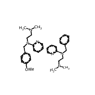 CN(C)CCN(Cc1ccccc1)c1ccccn1.COc1ccc(CN(CCN(C)C)c2ccccn2)cc1